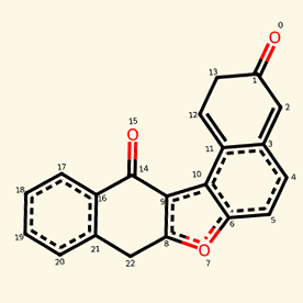 O=C1C=c2ccc3oc4c(c3c2=CC1)C(=O)c1ccccc1C4